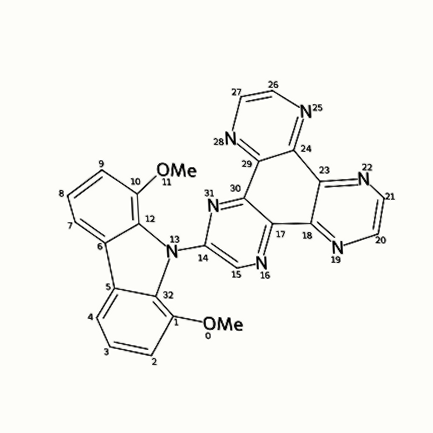 COc1cccc2c3cccc(OC)c3n(-c3cnc4c5nccnc5c5nccnc5c4n3)c12